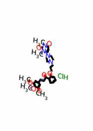 COc1cc(/C=C/C(=O)c2ccccc2OCCCN2CCN(c3cc(=O)n(C)c(=O)n3C)CC2)cc(OC)c1OC.Cl